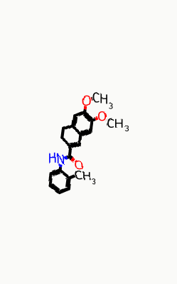 COc1cc2c(cc1OC)CCC(C(=O)Nc1ccccc1C)=C2